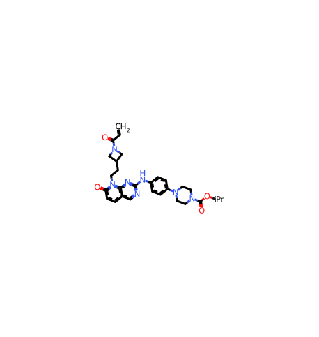 C=CC(=O)N1CC(CCn2c(=O)ccc3cnc(Nc4ccc(N5CCN(C(=O)OC(C)C)CC5)cc4)nc32)C1